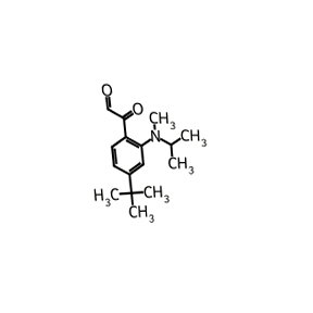 CC(C)N(C)c1cc(C(C)(C)C)ccc1C(=O)C=O